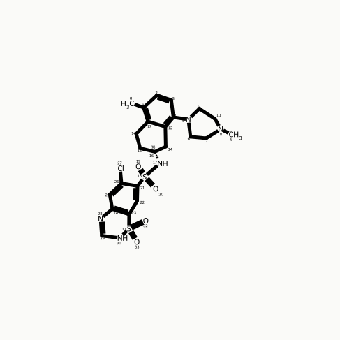 Cc1ccc(N2CCN(C)CC2)c2c1CC[C@@H](NS(=O)(=O)c1cc3c(cc1Cl)N=CNS3(=O)=O)C2